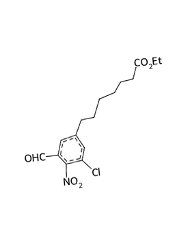 CCOC(=O)CCCCCCc1cc(Cl)c([N+](=O)[O-])c(C=O)c1